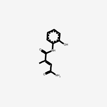 CC(=CC(N)=O)C(=O)Nc1ccccc1O